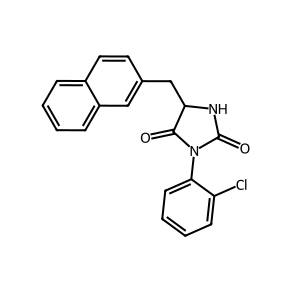 O=C1NC(Cc2ccc3ccccc3c2)C(=O)N1c1ccccc1Cl